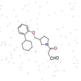 O=CCC(=O)N1CCC(COc2ccccc2C2CCCCC2)C1